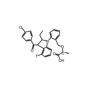 CCC1C(C(=O)c2ccc(Cl)cc2)c2c(F)cccc2N1c1ccccc1CO[C@@H](C)C(=O)O